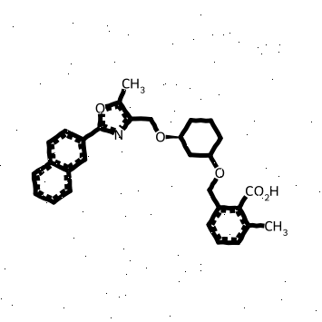 Cc1cccc(COC2CCC[C@H](OCc3nc(-c4ccc5ccccc5c4)oc3C)C2)c1C(=O)O